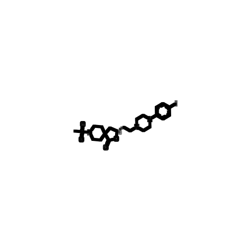 CS(=O)(=O)N1CCC2(CC1)C[C@H](CCN1CCN(c3ccc(I)cc3)CC1)OC2=O